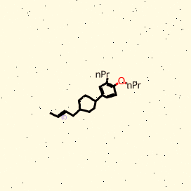 C/C=C/CC1CCC(c2ccc(OCCC)c(CCC)c2)CC1